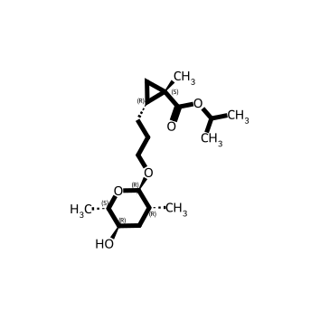 CC(C)OC(=O)[C@@]1(C)C[C@H]1CCCO[C@@H]1O[C@@H](C)[C@H](O)C[C@H]1C